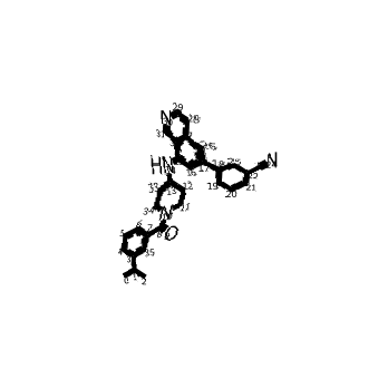 CC(C)c1cccc(C(=O)N2CCC(Nc3cc(C4CC=CC(C#N)C4)cc4ccncc34)CC2)c1